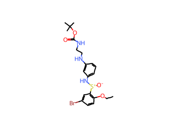 CCOc1ccc(Br)cc1[S+]([O-])Nc1cccc(NCCNC(=O)OC(C)(C)C)c1